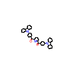 O=C(c1ccc(-n2c3ccccc3c3ccccc32)cc1)c1cccc(C(=O)c2ccc(-n3c4ccccc4c4ccccc43)cc2)n1